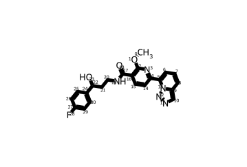 COc1nc(-c2cccc3cnnn23)ccc1C(=O)NCCC(O)c1ccc(F)cc1